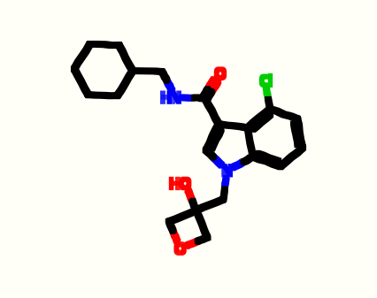 O=C(NCC1CCCCC1)c1cn(CC2(O)COC2)c2cccc(Cl)c12